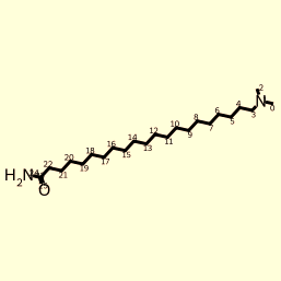 CN(C)CCCCCCCCCCCCCCCCCCCCC(N)=O